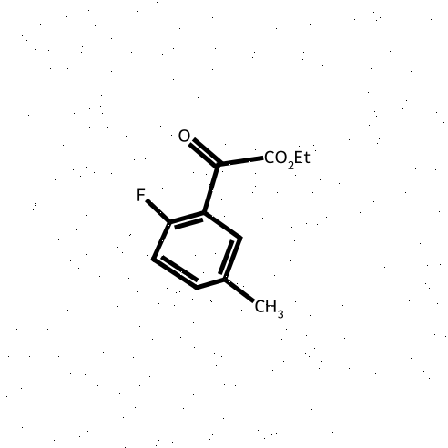 CCOC(=O)C(=O)c1cc(C)ccc1F